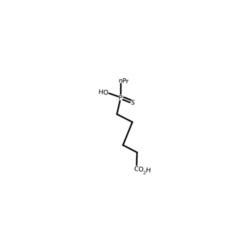 CCCP(O)(=S)CCCCC(=O)O